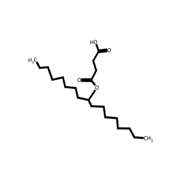 CCCCCCCCC(CCCCCCCC)OC(=O)CCC(=O)O